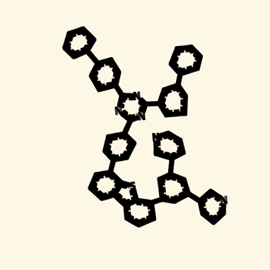 c1ccc(-c2ccc(-c3nc(-c4ccc(-c5cccc6c5sc5c(-c7cc(-c8cccnc8)cc(-c8cccnc8)c7)cccc56)cc4)nc(-c4cccc(-c5ccccc5)c4)n3)cc2)cc1